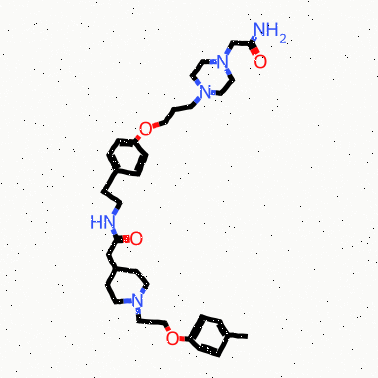 Cc1ccc(OCCN2CCC(CC(=O)NCCc3ccc(OCCCN4CCN(CC(N)=O)CC4)cc3)CC2)cc1